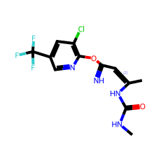 CNC(=O)N/C(C)=C\C(=N)Oc1ncc(C(F)(F)F)cc1Cl